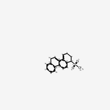 O=S(=O)(C1CCC=c2c1ccc1c2=CCc2ccccc2-1)C(F)(F)F